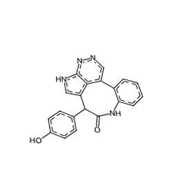 O=C1Nc2ccccc2-c2cnnc3[nH]cc(c23)C1c1ccc(O)cc1